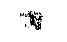 COP(=O)(OC)c1ccc(Nc2ncc(C(F)(F)F)c(NCc3cccnc3N(C)S(C)(=O)=O)n2)cc1.O=C(O)C(F)(F)F